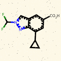 O=C(O)c1cc(C2CC2)c2nn(C(F)F)cc2c1